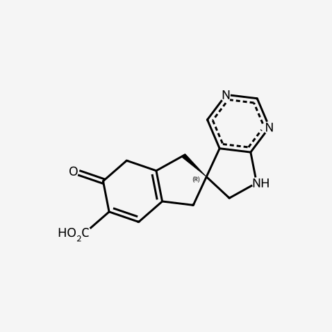 O=C(O)C1=CC2=C(CC1=O)C[C@@]1(CNc3ncncc31)C2